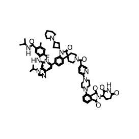 Cc1cc(F)c(Nc2nc(-c3ccc4c(c3)N([C@H]3C[C@@H](N5CCCCC5)C3)C(=O)C43CCN(C(=O)c4ccc(N5CCN(c6cccc7c6C(=O)N(C6CCC(=O)NC6=O)C7=O)CC5)nc4)CC3)cc3ncn(C(C)C)c23)cc1C(=O)NC(C)C